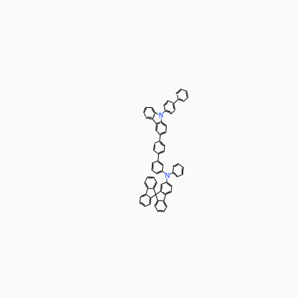 c1ccc(-c2ccc(-n3c4ccccc4c4cc(-c5ccc(-c6cccc(N(c7ccccc7)c7ccc8c(c7)C7(c9ccccc9-c9ccccc97)c7ccccc7-8)c6)cc5)ccc43)cc2)cc1